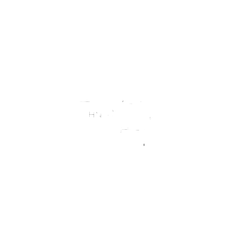 CCNc1cccc(C)c1